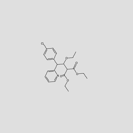 CCOC(=O)C(C(=O)OCC)C(OCC)C(c1ccc(Cl)cc1)c1ccccn1